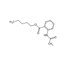 CCCCCOC(=O)c1ccccc1NC(C)=O